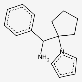 NC(c1ccccc1)C1(n2cccc2)CCCC1